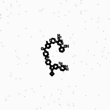 [2H]C1C=CN(c2ccc3c(C4CCN(CC5(F)CCN(C(=O)c6ccc(C7CN(c8cc(-c9ccccc9O)nnc8N)CCO7)c(C)c6)CC5)CC4)cn(C4CCC4)c3c2)C([2H])N1